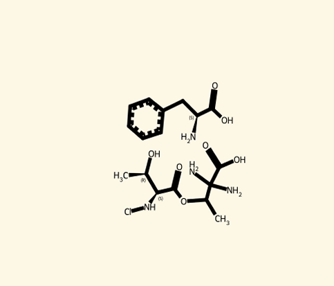 CC(OC(=O)[C@@H](NCl)[C@@H](C)O)C(N)(N)C(=O)O.N[C@@H](Cc1ccccc1)C(=O)O